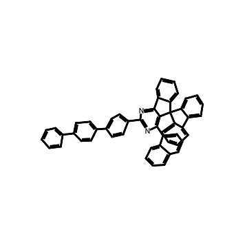 c1ccc(-c2ccc(-c3ccc(-c4nc5c(c(-c6cccc7ccccc67)n4)C4(c6ccccc6-c6ccccc64)c4ccccc4-5)cc3)cc2)cc1